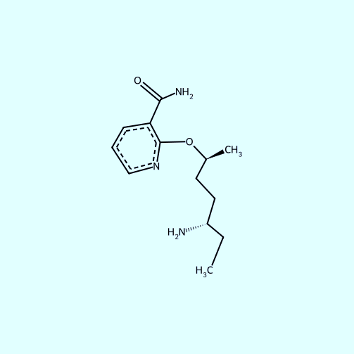 CC[C@H](N)CC[C@H](C)Oc1ncccc1C(N)=O